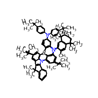 Cc1cc2c(cc1N1c3cc(N(c4ccc(C(C)(C)C)cc4)c4ccc(C(C)(C)C)cc4)ccc3B3c4c1cc(C(C)(C)C)cc4-n1c4c(c5cc(C(C)(C)C)cc3c51)C(C)(C)c1ccccc1-4)C(C)(C)CCC2(C)C